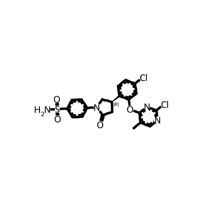 Cc1cnc(Cl)nc1Oc1cc(Cl)ccc1[C@H]1CC(=O)N(c2ccc(S(N)(=O)=O)cc2)C1